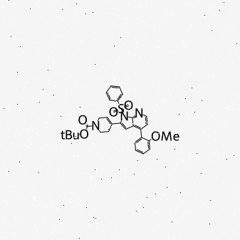 COc1ccccc1-c1ccnc2c1cc(C1=CCN(C(=O)OC(C)(C)C)CC1)n2S(=O)(=O)c1ccccc1